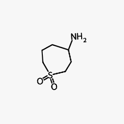 NC1CCCS(=O)(=O)CC1